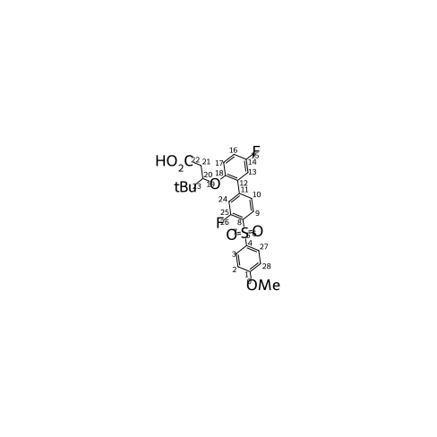 COc1ccc(S(=O)(=O)c2ccc(-c3cc(F)ccc3OC(CC(=O)O)C(C)(C)C)cc2F)cc1